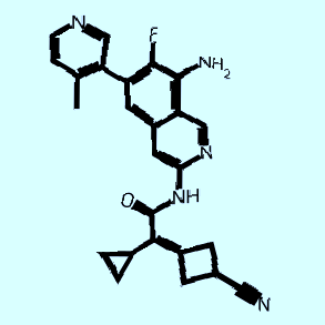 Cc1ccncc1-c1cc2cc(NC(=O)C(=C3CC(C#N)C3)C3CC3)ncc2c(N)c1F